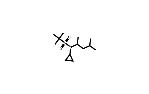 CC(C)C[C@H](C)N(C1CC1)S(=O)(=O)C(C)(C)C